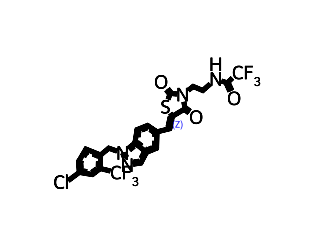 O=C1S/C(=C\c2ccc3c(cnn3Cc3ccc(Cl)cc3C(F)(F)F)c2)C(=O)N1CCNC(=O)C(F)(F)F